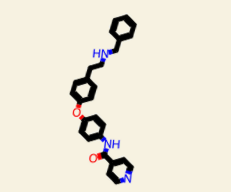 O=C(Nc1ccc(Oc2ccc(CCNCc3ccccc3)cc2)cc1)c1ccncc1